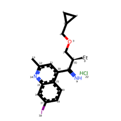 CC[C@H](COCC1CC1)C(=N)c1cc(C)nc2cc(I)ccc12.Cl